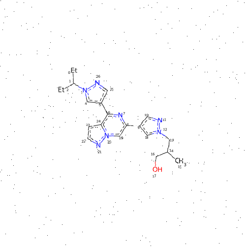 CCC(CC)n1cc(-c2nc(-c3cnn(CC(C)CO)c3)cn3nccc23)cn1